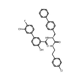 O=C(N[C@@H](Cc1ccc(-c2ccccc2)cc1)C(=O)NCCc1ccc(Cl)cc1)c1cc(-c2ccc(F)c(Cl)c2)ccc1O